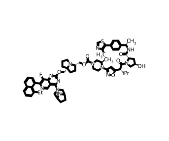 CCc1cccc2cccc(-c3ncc4c(N5CC6CCC(C5)N6)nc(OC[C@]56CCCN5[C@H](COC(=O)N5CCN(c7cc([C@H](C(=O)N8C[C@H](O)C[C@H]8C(=O)N[C@@H](C)c8ccc(-c9scnc9C)cc8)C(C)C)on7)[C@H](C)C5)CC6)nc4c3F)c12